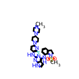 CN1CCN(C2CCN(c3ccc(Nc4nc(Nc5cccc6c5N(S(C)(=O)=O)CC6)c5cc[nH]c5n4)c(F)n3)CC2)CC1